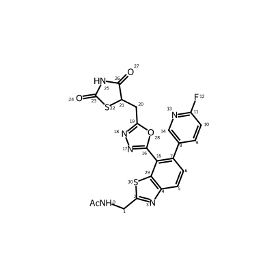 CC(=O)NCc1nc2ccc(-c3ccc(F)nc3)c(-c3nnc(CC4SC(=O)NC4=O)o3)c2s1